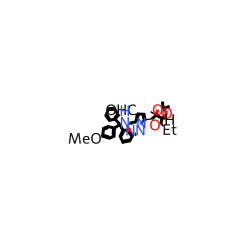 CC[C@H]1O[C@@H](c2cc(C=O)c3c(NC(c4ccccc4)(c4ccccc4)c4ccc(OC)cc4)ncnn23)[C@]2(C)OC(C)(C)O[C@H]12